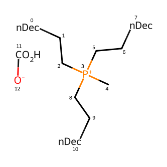 CCCCCCCCCCCC[P+](C)(CCCCCCCCCCCC)CCCCCCCCCCCC.O=C([O-])O